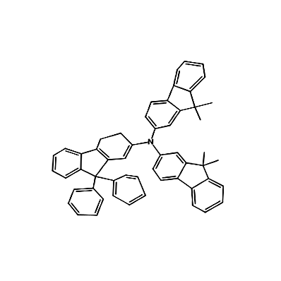 CC1(C)c2ccccc2-c2ccc(N(C3=CC4=C(CC3)c3ccccc3C4(c3ccccc3)c3ccccc3)c3ccc4c(c3)C(C)(C)c3ccccc3-4)cc21